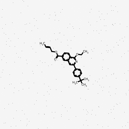 CC=CCOC(=O)c1ccc2c(OCC)nc(-c3ccc(C(C)(C)C)cc3)cc2c1